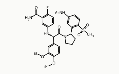 CCOc1cc([C@@H](Nc2ccc(F)c(C(N)=O)c2)C(=O)N2CCC[C@@H]2c2cc(NC(C)=O)ccc2S(C)(=O)=O)ccc1OC(C)C